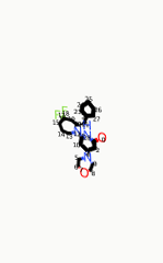 O=c1cc(N2CCOCC2)cc(N2CCCC(F)(F)C[C@H]2Cc2ccccc2)[nH]1